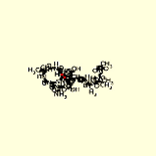 CC[C@H](C)[C@@H]1NC(=O)CNC(=O)[C@H]2Cc3c([nH]c4cc(OCc5ccc(NC(=O)[C@@H](C)NC(=O)[C@@H](NC(=O)CCN6C(=O)CC(C)C6=O)C(C)C)cc5)ccc34)SC[C@H](NC(=O)CNC1=O)C(=O)N[C@H](CC(N)=O)C(=O)N1C[C@H](O)C[C@H]1C(=O)N[C@@H]([C@@H](C)[C@@H](O)CO)C(=O)N2